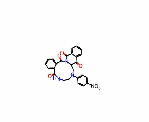 O=C1NCCN(c2ccc([N+](=O)[O-])cc2)CC2C(=O)c3ccccc3C(=O)N2C(=O)c2ccccc21